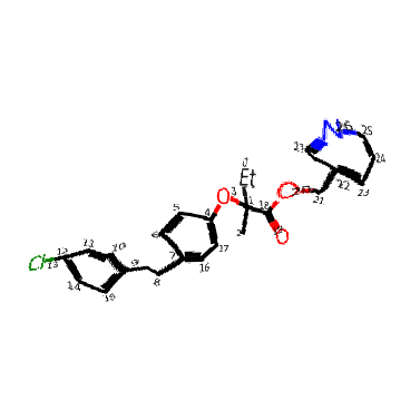 CCC(C)(Oc1ccc(Cc2ccc(Cl)cc2)cc1)C(=O)OCc1cccnc1